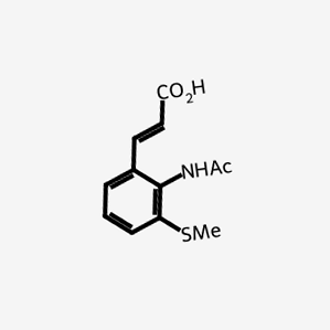 CSc1cccc(C=CC(=O)O)c1NC(C)=O